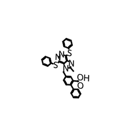 Cc1nc2c(Sc3ccccc3)nnc(Sc3ccccc3)c2n1Cc1ccc(-c2ccccc2)c(C(=O)O)c1